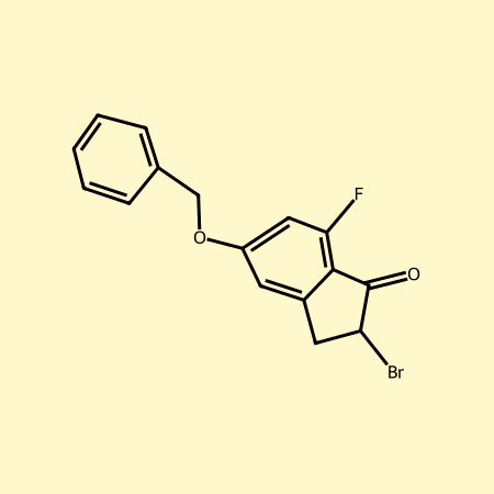 O=C1c2c(F)cc(OCc3ccccc3)cc2CC1Br